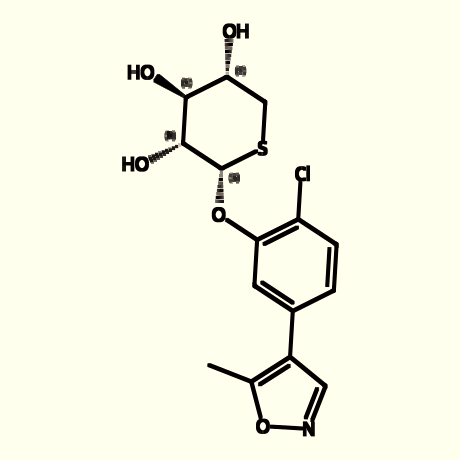 Cc1oncc1-c1ccc(Cl)c(O[C@H]2SC[C@@H](O)[C@H](O)[C@H]2O)c1